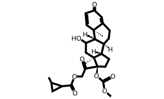 COC(=O)O[C@]1(C(=O)COC(=O)C2CC2C)CC[C@H]2[C@@H]3CCC4=CC(=O)C=C[C@]4(C)[C@H]3C(O)C[C@@]21C